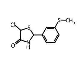 CSc1cccc(C2NC(=O)C(Cl)S2)c1